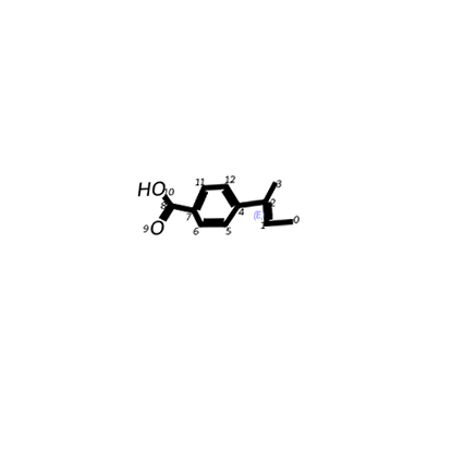 C/C=C(\C)c1ccc(C(=O)O)cc1